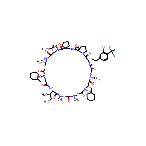 CC[C@H](C)[C@@H]1NC(=O)[C@H](CC2CCCCC2)N(C)C(=O)C[C@@H](C)NC(=O)[C@H](C(C)C)N(C)C(=O)C2(CCCC2)NC(=O)[C@@H]2CCCN2C(=O)[C@H](CCc2ccc(C(F)(F)F)c(Cl)c2)NC(=O)CN(C)C(=O)[C@H](CC2CCCCC2)N(C)C(=O)CN(C)C(=O)CN(C)C1=O